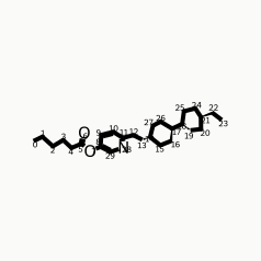 CCCCCC(=O)Oc1ccc(CC[C@H]2CC[C@H]([C@H]3CC[C@H](CC)CC3)CC2)nc1